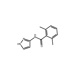 Cc1cccc(C)c1C(=O)Nc1cc[nH]n1